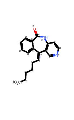 O=C(O)CCCC/C=C1/c2cnccc2NC(=O)c2ccccc21